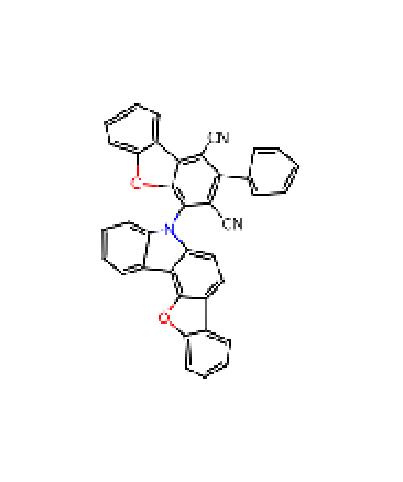 N#Cc1c(-c2ccccc2)c(C#N)c2c(oc3ccccc32)c1-n1c2ccccc2c2c3oc4ccccc4c3ccc21